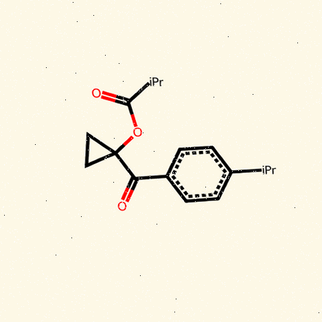 CC(C)C(=O)OC1(C(=O)c2ccc(C(C)C)cc2)CC1